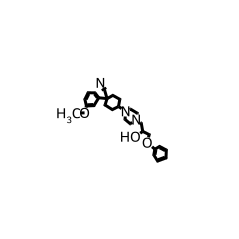 COc1cccc(C2(C#N)CCC(N3CCN(CC(O)COc4ccccc4)CC3)CC2)c1